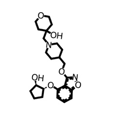 O[C@@H]1CCC[C@H]1Oc1cccc2onc(OCC3CCN(CC4(O)CCOCC4)CC3)c12